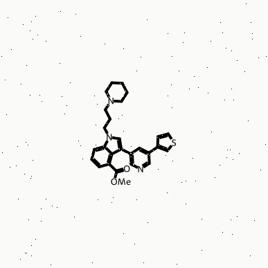 COC(=O)c1cccc2c1c(-c1cncc(-c3ccsc3)c1)cn2CCCN1CCCCC1